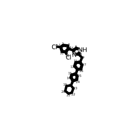 Clc1ccc(-c2c[nH]c(Cc3ccc(-c4ccc(C5CCCCC5)cc4)cc3)n2)c(Cl)c1